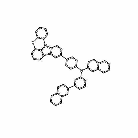 c1cc(-c2ccc3ccccc3c2)cc(N(c2ccc(-c3ccc4c(c3)c3cccc5c3n4-c3ccccc3O5)cc2)c2ccc3ccccc3c2)c1